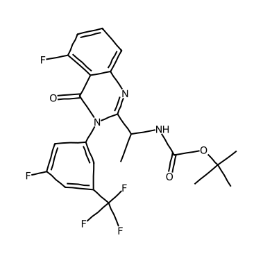 CC(NC(=O)OC(C)(C)C)c1nc2cccc(F)c2c(=O)n1-c1cc(F)cc(C(F)(F)F)c1